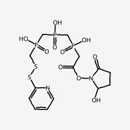 O=C(CP(=O)(O)CP(=O)(O)CP(=O)(O)CSSc1ccccn1)ON1C(=O)CCC1O